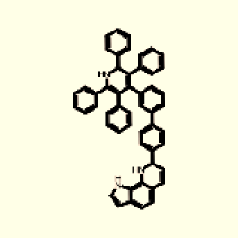 C1=CC(c2ccc(-c3cccc(C4=C(c5ccccc5)C(c5ccccc5)NC(c5ccccc5)=C4c4ccccc4)c3)cc2)Nc2c1ccc1cc[nH]c21